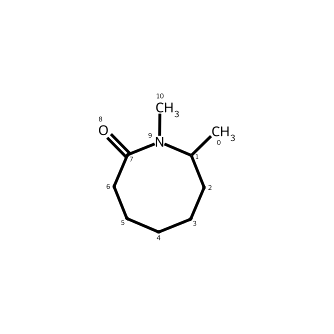 CC1CCCCCC(=O)N1C